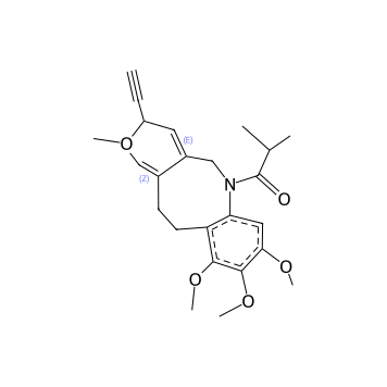 C#CC(/C=C1/CN(C(=O)C(C)C)c2cc(OC)c(OC)c(OC)c2CC/C1=C/C)OC